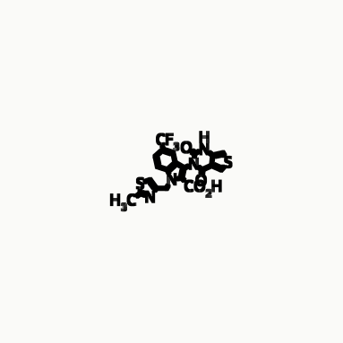 Cc1nc(Cn2c(C(=O)O)c(-n3c(=O)[nH]c4cscc4c3=O)c3cc(C(F)(F)F)ccc32)cs1